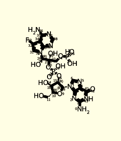 Nc1nc2c(ncn2[C@@H]2O[C@H](CO)[C@@H](O)[C@H]2OP(=O)(O)O[C@](O)(CO[PH](=O)O)[C@@H](O)n2cc(F)c3c(N)ncnc32)c(=O)[nH]1